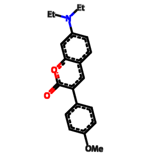 CCN(CC)c1ccc2cc(-c3ccc(OC)cc3)c(=O)oc2c1